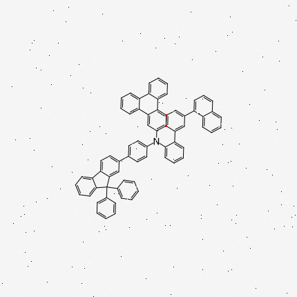 c1ccc(C2(c3ccccc3)c3ccccc3-c3ccc(-c4ccc(N(c5ccc6c7ccccc7c7ccccc7c6c5)c5ccccc5-c5cccc(-c6cccc7ccccc67)c5)cc4)cc32)cc1